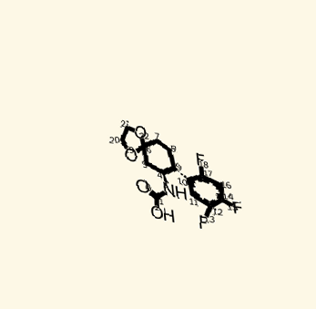 O=C(O)N[C@H]1CC2(CC[C@@H]1c1cc(F)c(F)cc1F)OCCO2